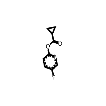 O=C(Oc1ccc(F)cn1)C1CC1